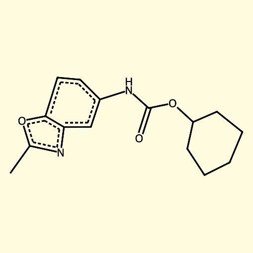 Cc1nc2cc(NC(=O)OC3CCCCC3)ccc2o1